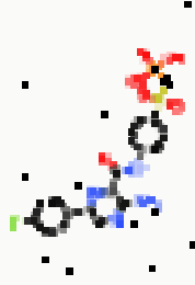 Nc1ncc(-c2ccc(F)cc2)nc1C(=O)Nc1ccc(S(=O)(=O)CP(=O)(O)O)cc1